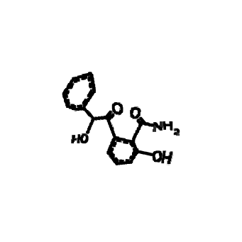 NC(=O)c1c(O)cccc1C(=O)C(O)c1ccccc1